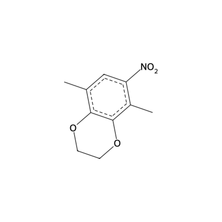 Cc1cc([N+](=O)[O-])c(C)c2c1OCCO2